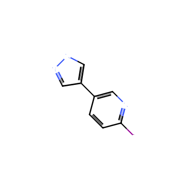 Ic1ccc(-c2cn[nH]c2)cn1